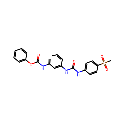 C=C(/C=C(\C=C/C)NC(=O)Nc1ccc(S(C)(=O)=O)cc1)NC(=O)Oc1ccccc1